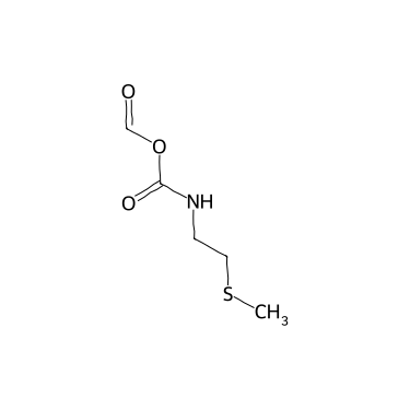 CSCCNC(=O)OC=O